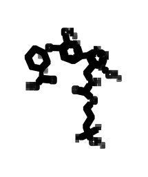 Cc1nc(-c2nnn(C)c2CNC(=O)OCCCC(C)(F)F)ccc1O[C@H]1CCC[C@H](C(=O)O)C1